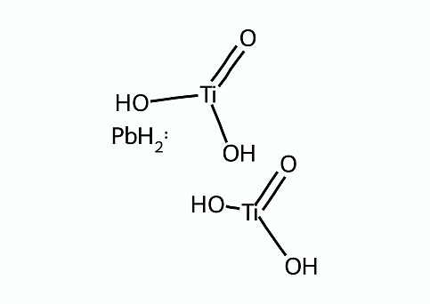 [O]=[Ti]([OH])[OH].[O]=[Ti]([OH])[OH].[PbH2]